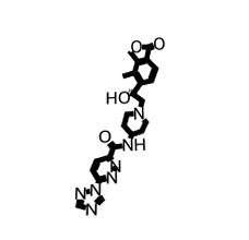 Cc1c([C@@H](O)CN2CCC(NC(=O)c3ccc(-n4cncn4)nn3)CC2)ccc2c1COC2=O